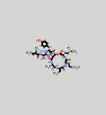 C/C=C1\NC(=O)[C@H](C)NC(=O)[C@@H](NC(=O)[C@@H](Cc2ccc(O)cc2)NC(=O)[C@@H](NC(=O)/C(C)=C/C)C(C)C)[C@@H](C)OC(=O)[C@H](CC[S+](C)[O-])NC(=O)[C@@H](CCC(=O)O)NC1=O